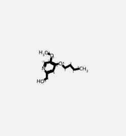 CCCCOc1cc(CO)ncc1OC